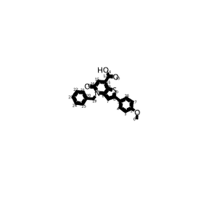 COc1ccc(-c2cc3c(s2)c(C(=O)O)cc(=O)n3Cc2ccccc2)cc1